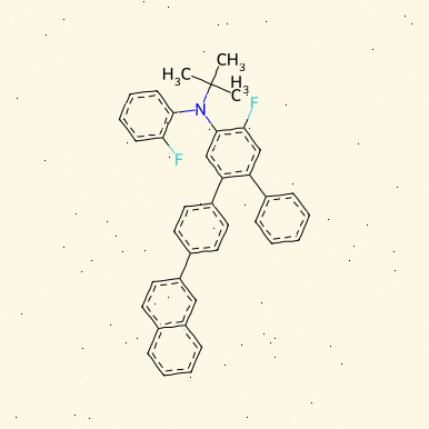 CC(C)(C)N(c1ccccc1F)c1cc(-c2ccc(-c3ccc4ccccc4c3)cc2)c(-c2ccccc2)cc1F